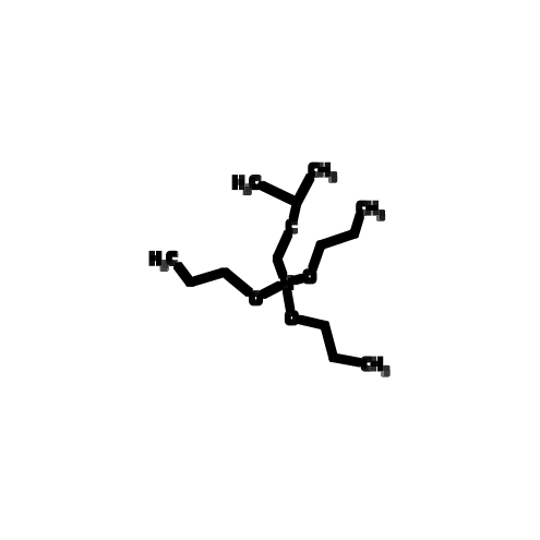 CCCO[Si](CCC(C)C)(OCCC)OCCC